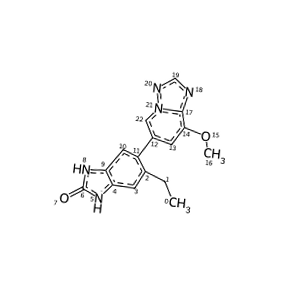 CCc1cc2[nH]c(=O)[nH]c2cc1-c1cc(OC)c2ncnn2c1